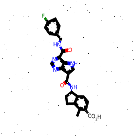 Cc1c(C(=O)O)ccc2c1CC[C@@H]2NC(=O)c1c[nH]c2c(C(=O)NCc3ccc(F)cc3)ncnc12